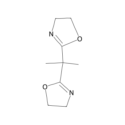 CC(C)(C1=NCCO1)C1=NCCO1